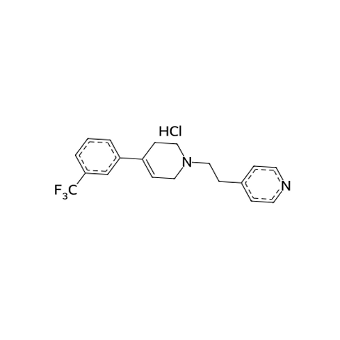 Cl.FC(F)(F)c1cccc(C2=CCN(CCc3ccncc3)CC2)c1